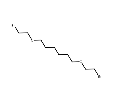 BrCCOCCCCCCOCCBr